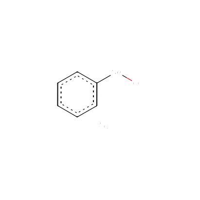 [Ag+].[O-][Se]c1ccccc1